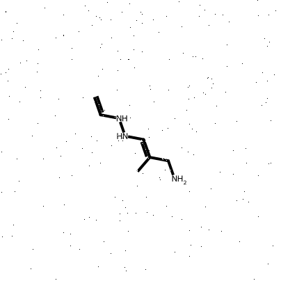 C=CNN/C=C(\C)CN